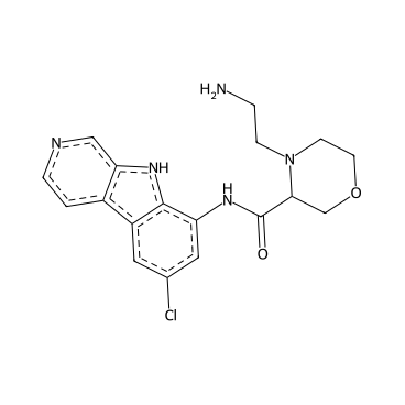 NCCN1CCOCC1C(=O)Nc1cc(Cl)cc2c1[nH]c1cnccc12